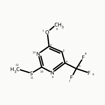 COc1[c]c(C(F)(F)F)nc(SC)n1